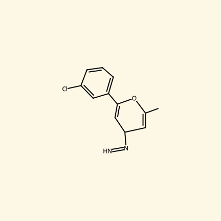 CC1=CC(N=N)C=C(c2cccc(Cl)c2)O1